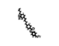 C=CCCC1CCC(/C=C/CCC2CCC(C(=O)Oc3ccc(CCC)cc3)CC2)CC1(F)F